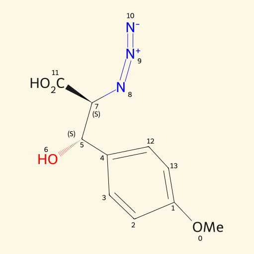 COc1ccc([C@H](O)[C@H](N=[N+]=[N-])C(=O)O)cc1